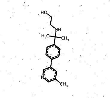 Cc1cncc(-c2ccc(C(C)(C)NCCO)cc2)c1